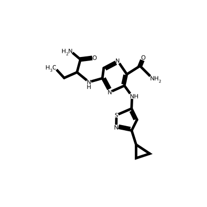 CCC(Nc1cnc(C(N)=O)c(Nc2cc(C3CC3)ns2)n1)C(N)=O